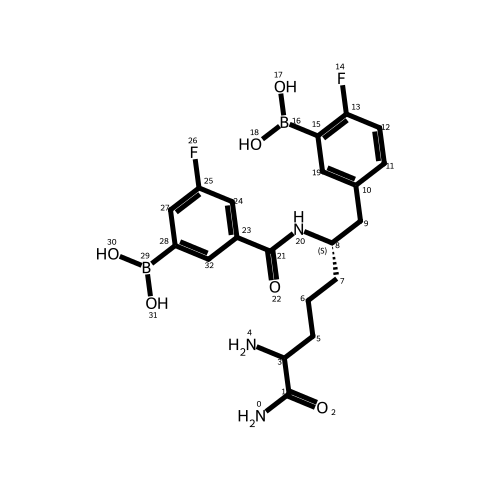 NC(=O)C(N)CCC[C@@H](Cc1ccc(F)c(B(O)O)c1)NC(=O)c1cc(F)cc(B(O)O)c1